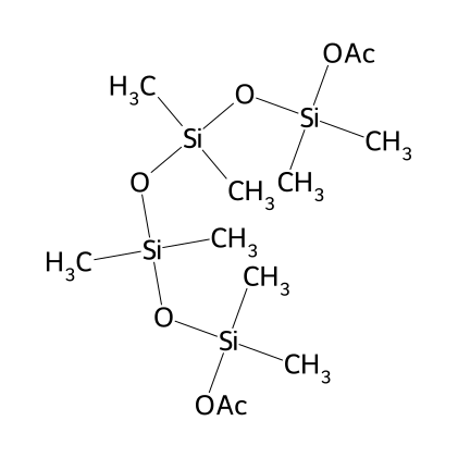 CC(=O)O[Si](C)(C)O[Si](C)(C)O[Si](C)(C)O[Si](C)(C)OC(C)=O